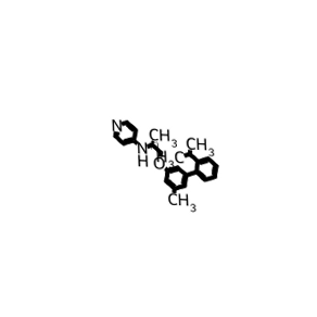 Cc1cc(OC[C@H](C)Nc2ccncc2)cc(-c2ccccc2C(C)C)c1